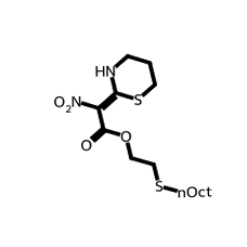 CCCCCCCCSCCOC(=O)C(=C1NCCCS1)[N+](=O)[O-]